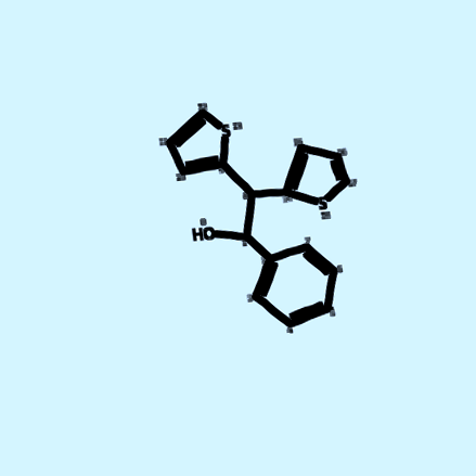 OC(c1cc[c]cc1)C(c1cccs1)c1cccs1